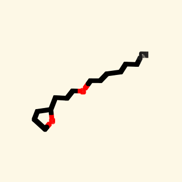 N#CCCCCCCOCCCC1CCCO1